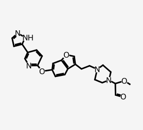 COC(C=O)N1CCN(CCc2coc3cc(Oc4ccc(-c5ccn[nH]5)cn4)ccc23)CC1